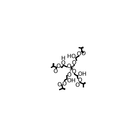 C=C(C)C(=O)OCC(O)COC[C@H](OCC(O)COC(=O)C(=C)C)[C@@H](COCC(O)COC(=O)C(=C)C)OCC(O)COC(=O)C(=C)C